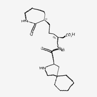 O=C(N[C@@H](CC[C@@H]1CCCNC1=O)C(=O)O)C1CC2(CCCCC2)CN1